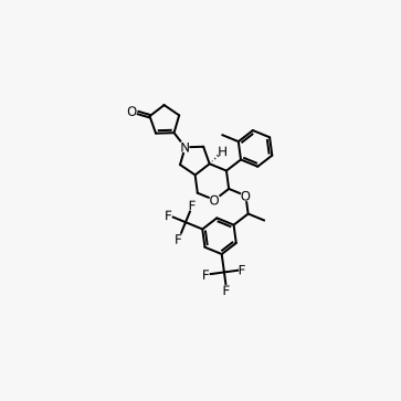 Cc1ccccc1C1C(OC(C)c2cc(C(F)(F)F)cc(C(F)(F)F)c2)OCC2CN(C3=CC(=O)CC3)C[C@H]21